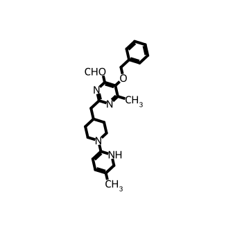 CC1=CC=C(N2CCC(Cc3nc(C)c(OCc4ccccc4)c(C=O)n3)CC2)NC1